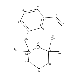 C=Cc1ccccc1.CCC1(C)CCC[Si](C)(C)O1